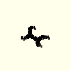 Cc1ccc(N(c2ccc(-c3ccc(N(c4ccc(C)cc4)c4ccc(-c5ccc(C)s5)cc4)cc3)cc2)c2ccc(-c3ccc(C)s3)cc2)cc1